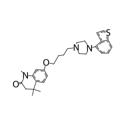 CN1C(=O)CC(C)(C)c2ccc(OCCCCN3CCN(c4cccc5sccc45)CC3)cc21